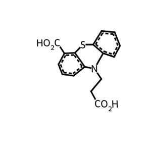 O=C(O)CCN1c2ccccc2Sc2c(C(=O)O)cccc21